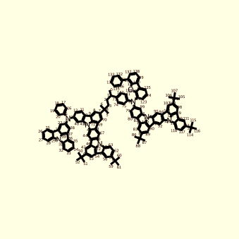 CC(CCC(C)(C)c1cc2c3ccc(N(c4ccccc4)c4cc5c6ccccc6n6c7ccccc7c(c4)c56)cc3n3c4cc5c6cc(C(C)(C)C)cc7c8cc(C(C)(C)C)ccc8n(c5cc4c(c1)c23)c76)c1ccc(N(c2ccc3c4cc(C(C)(C)C)cc5c6cc7c(cc6n(c3c2)c45)c2cc(C(C)(C)C)cc3c4cc(C(C)(C)C)ccc4n7c32)c2cccc3c2oc2c(-c4ccccc4)cccc23)cc1